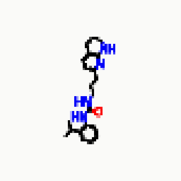 CC(C)c1ccccc1NC(=O)NCCCc1ccc2c(n1)NCCC2